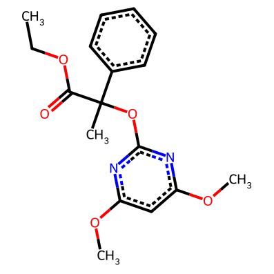 CCOC(=O)C(C)(Oc1nc(OC)cc(OC)n1)c1ccccc1